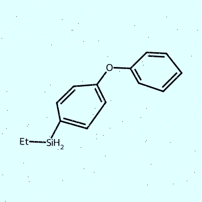 CC[SiH2]c1ccc(Oc2ccccc2)cc1